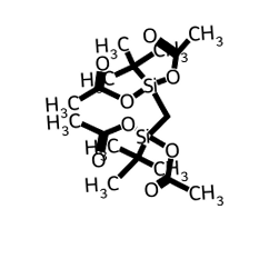 CC(=O)O[Si](C[Si](OC(C)=O)(OC(C)=O)C(C)(C)C)(OC(C)=O)C(C)(C)C